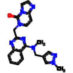 CN(Cc1cnn(C)c1)c1nc(Cn2ccc3nccn3c2=O)nc2ccccc12